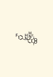 CC(=O)c1ccc(NCc2ccc(F)cc2)c(N)c1C(C)=O